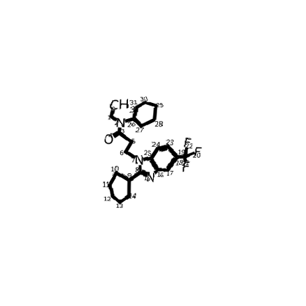 CCN(C(=O)CCn1c(C2CCCCC2)nc2cc(C(F)(F)F)ccc21)C1CCCCC1